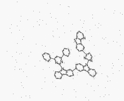 c1ccc(-c2cc(-c3ccccc3)nc(-n3c4ccccc4c4ccc(-c5ccc6c(c5)c5ccccc5n6-c5nccc(-c6ccc7sc8cccnc8c7c6)n5)cc43)n2)cc1